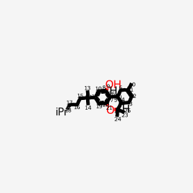 CC1=CC[C@@H]2[C@@H](C1)c1c(O)cc(C(C)(C)CCCC(C)C)cc1OC2(C)C